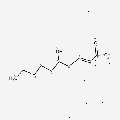 CCCCCC(O)CC=CC(=O)O